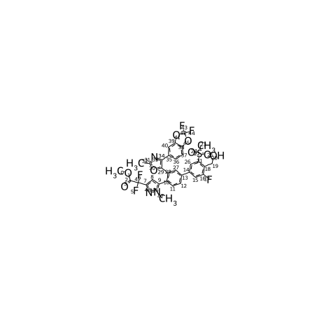 COC(=O)C(F)(F)c1cc(-c2ccc(-c3cc(F)c(CO)c(S(C)(=O)=O)c3)cc2-c2oc(C)nc2-c2ccc3c(c2)OC(F)(F)O3)n(C)n1